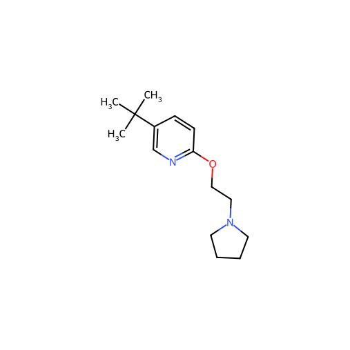 CC(C)(C)c1ccc(OCCN2CCCC2)nc1